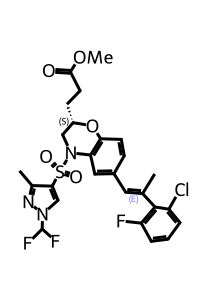 COC(=O)CC[C@H]1CN(S(=O)(=O)c2cn(C(F)F)nc2C)c2cc(/C=C(\C)c3c(F)cccc3Cl)ccc2O1